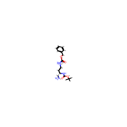 CC(C)(C)OC(=O)N[C@H](CN)CCNC(=O)OCc1ccccc1